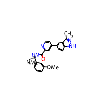 CNC[C@H](NC(=O)c1cc(-c2ccc3[nH]nc(C)c3c2)ccn1)c1cccc(OC)c1